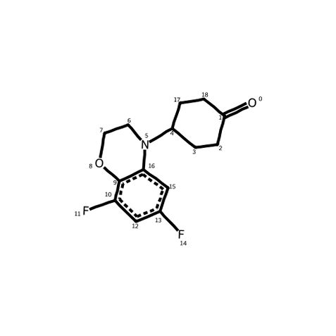 O=C1CCC(N2CCOc3c(F)cc(F)cc32)CC1